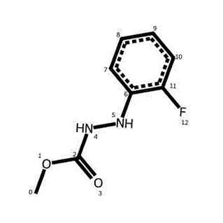 COC(=O)NNc1ccccc1F